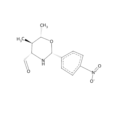 C[C@H]1[C@H](C)O[C@H](c2ccc([N+](=O)[O-])cc2)N[C@@H]1C=O